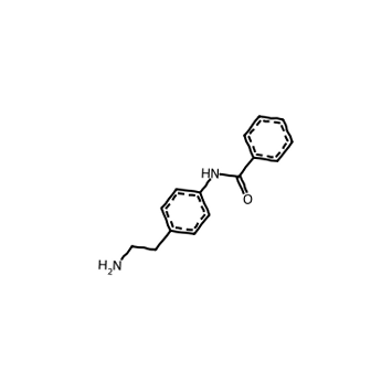 NCCc1ccc(NC(=O)c2ccccc2)cc1